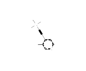 C[Si](C)(C)C#Cc1ccncc1F